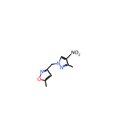 Cc1cc(Cn2cc([N+](=O)[O-])c(C)n2)no1